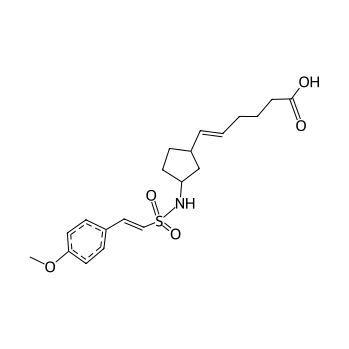 COc1ccc(C=CS(=O)(=O)NC2CCC(C=CCCCC(=O)O)C2)cc1